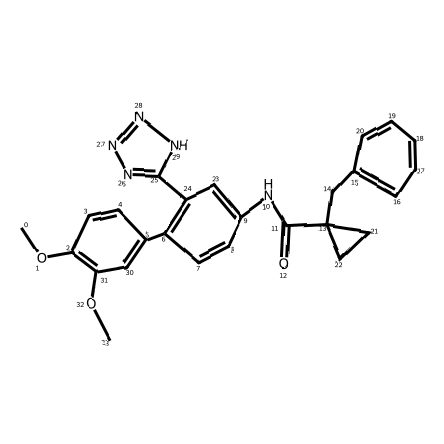 COc1ccc(-c2ccc(NC(=O)C3(Cc4ccccc4)CC3)cc2-c2nnn[nH]2)cc1OC